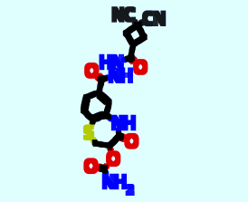 N#CC1(C#N)CC(C(=O)NNC(=O)c2ccc3c(c2)NC(=O)[C@@H](OC(N)=O)CS3)C1